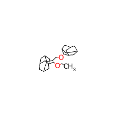 CCOCC12CC3CC(C1)C(CCOC1C4CC5CC(C4)CC1C5)C(C3)C2